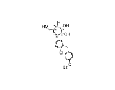 CCOc1ccc(Cc2cc([C@@H]3O[C@]4(CO)C[C@@H]4[C@H](O)[C@H]3O)ccc2Cl)cc1